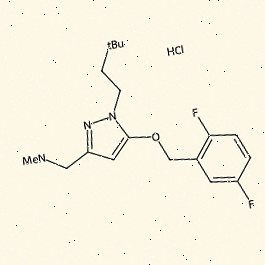 CNCc1cc(OCc2cc(F)ccc2F)n(CCC(C)(C)C)n1.Cl